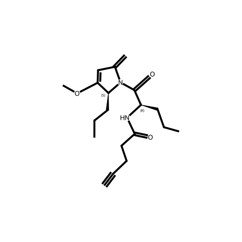 C#CCCC(=O)N[C@H](CCC)C(=O)N1C(=C)C=C(OC)[C@@H]1CCC